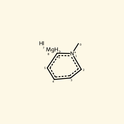 C[n+]1ccccc1.I.[MgH2]